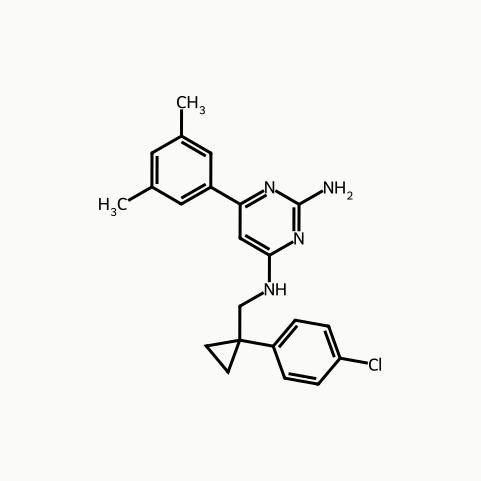 Cc1cc(C)cc(-c2cc(NCC3(c4ccc(Cl)cc4)CC3)nc(N)n2)c1